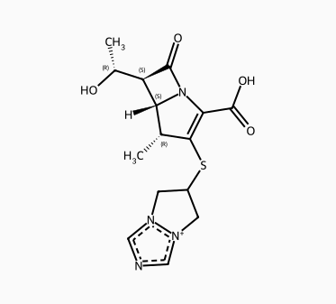 C[C@@H](O)[C@H]1C(=O)N2C(C(=O)O)=C(SC3Cn4cnc[n+]4C3)[C@H](C)[C@H]12